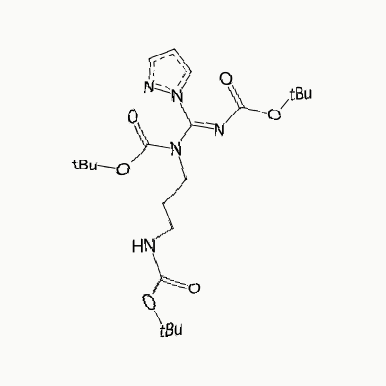 CC(C)(C)OC(=O)/N=C(/N(CCCNC(=O)OC(C)(C)C)C(=O)OC(C)(C)C)n1cccn1